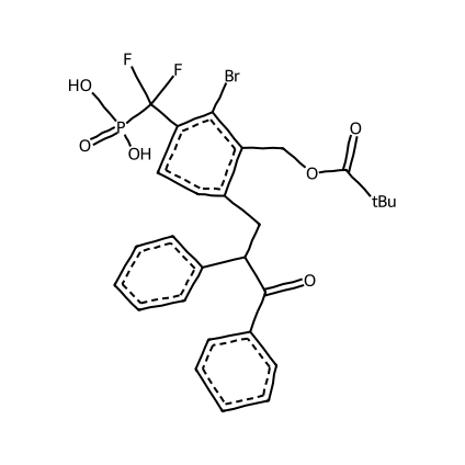 CC(C)(C)C(=O)OCc1c(CC(C(=O)c2ccccc2)c2ccccc2)ccc(C(F)(F)P(=O)(O)O)c1Br